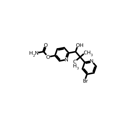 CC(C)(c1cc(Br)ccn1)C(O)c1ccc(OC(N)=O)cn1